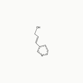 OC/C=C/c1cccnc1